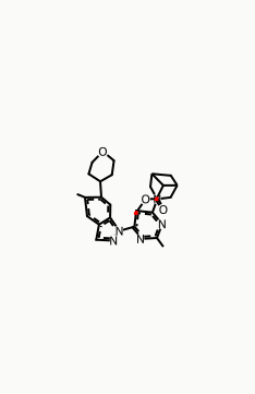 COC(=O)C1C2CC1CN(c1cc(-n3ncc4cc(C)c(C5CCOCC5)cc43)nc(C)n1)C2